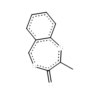 Cc1nc2ccccc2cnc1=O